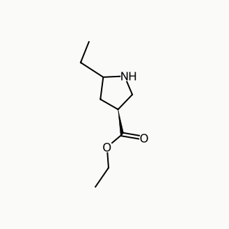 CCOC(=O)[C@@H]1CNC(CC)C1